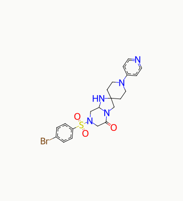 O=C1CN(S(=O)(=O)c2ccc(Br)cc2)CC2NC3(CCN(c4ccncc4)CC3)CN12